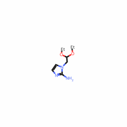 CCOC(Cn1ccnc1N)OCC